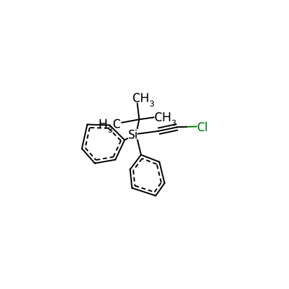 CC(C)(C)[Si](C#CCl)(c1ccccc1)c1ccccc1